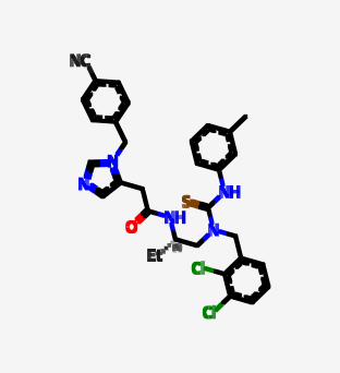 CC[C@@H](CN(Cc1cccc(Cl)c1Cl)C(=S)Nc1cccc(C)c1)NC(=O)Cc1cncn1Cc1ccc(C#N)cc1